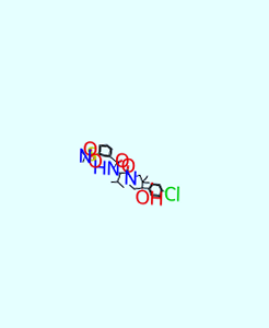 CC(C)[C@@H](NC(=O)c1cccc(S(=O)(=O)N(C)C)c1)C(=O)N1CC[C@](O)(c2ccc(Cl)cc2)C(C)(C)C1